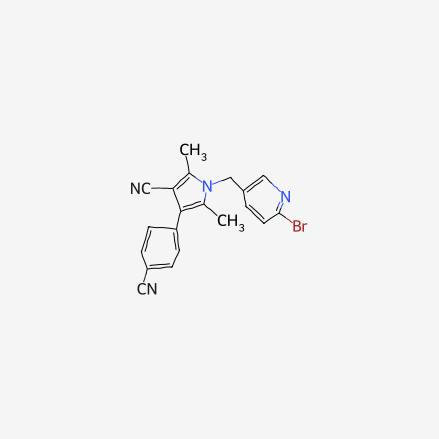 Cc1c(C#N)c(-c2ccc(C#N)cc2)c(C)n1Cc1ccc(Br)nc1